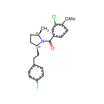 COc1ccc(C(=O)N2[C@@H](CCc3ccc(F)cc3)CC[C@H]2C)cc1Cl